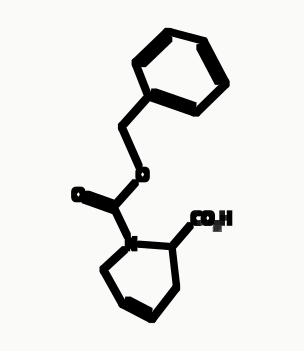 O=C(O)C1CC=CCN1C(=O)OCc1ccccc1